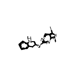 CN(c1ncc2c(I)nn(C)c2n1)C1CNc2ccccc2C1